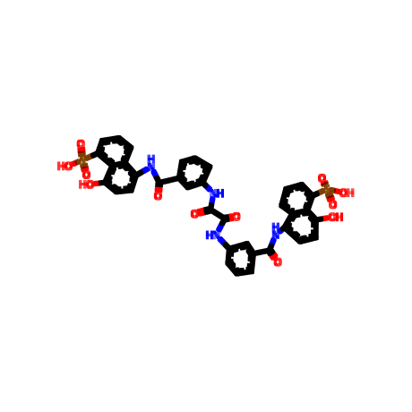 O=C(Nc1cccc(C(=O)Nc2ccc(O)c3c(S(=O)(=O)O)cccc23)c1)C(=O)Nc1cccc(C(=O)Nc2ccc(O)c3c(S(=O)(=O)O)cccc23)c1